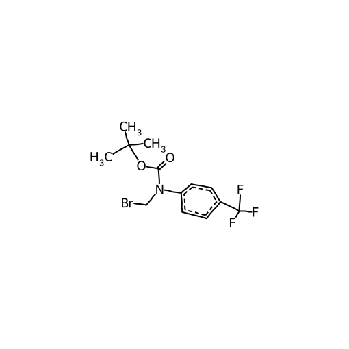 CC(C)(C)OC(=O)N(CBr)c1ccc(C(F)(F)F)cc1